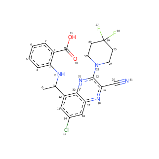 CC(Nc1ccccc1C(=O)O)c1cc(Cl)cc2nc(C#N)c(N3CCC(F)(F)CC3)nc12